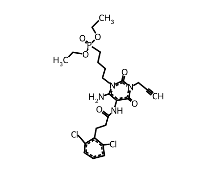 C#CCn1c(=O)c(NC(=O)CCc2c(Cl)cccc2Cl)c(N)n(CCCCP(=O)(OCC)OCC)c1=O